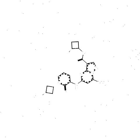 CNc1cc(Nc2cccn([C@H]3C[C@H](OC)C3)c2=O)nc2c(C(=O)NC3CC[C@@H]3F)cnn12